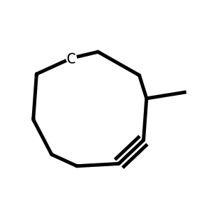 CC1C#CCCCCCCC1